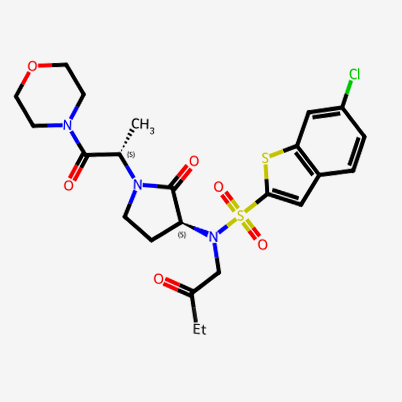 CCC(=O)CN([C@H]1CCN([C@@H](C)C(=O)N2CCOCC2)C1=O)S(=O)(=O)c1cc2ccc(Cl)cc2s1